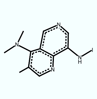 Cc1cnc2c(NI)cncc2c1N(C)C